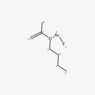 CC(=O)F.CCCCOC(C)=O